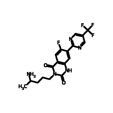 CC(N)CCCn1c(=O)[nH]c2cc(-c3ncc(C(F)(F)F)cn3)c(F)cc2c1=O